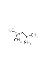 CC(N)C=[Si](C)C